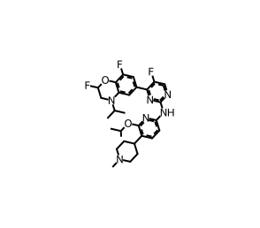 CC(C)Oc1nc(Nc2ncc(F)c(-c3cc(F)c4c(c3)N(C(C)C)CC(F)O4)n2)ccc1C1CCN(C)CC1